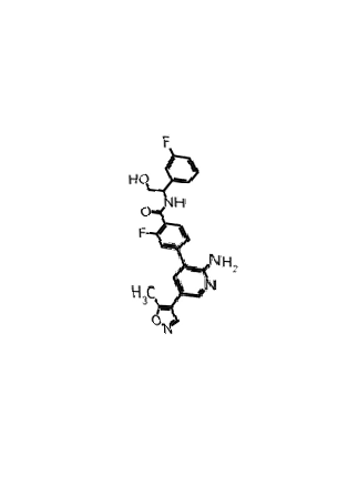 Cc1oncc1-c1cnc(N)c(-c2ccc(C(=O)NC(CO)c3cccc(F)c3)c(F)c2)c1